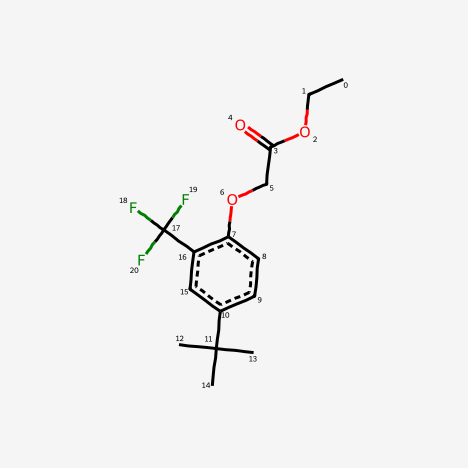 CCOC(=O)COc1ccc(C(C)(C)C)cc1C(F)(F)F